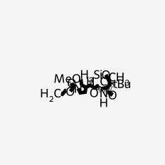 C=CCOC(=O)N1CCC(CC(=O)C[C@H]2NC(=O)[C@H]2[C@H](C(C)(C)C)C(C)(C)O[SiH3])C1COC